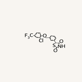 O=C1NC(=O)C(c2cccc(COc3ccc(C(F)(F)F)cc3Cl)c2)S1